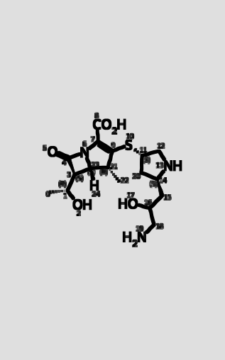 C[C@@H](O)[C@H]1C(=O)N2C(C(=O)O)=C(S[C@@H]3CN[C@@H](CC(O)CN)C3)[C@H](C)[C@H]12